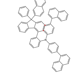 c1ccc(C2(c3ccc4ccccc4c3)c3ccccc3-c3c(-c4ccccc4N(c4ccc(-c5cccc6ccccc56)cc4)c4ccc(-c5cccc6ccccc56)cc4)cccc32)cc1